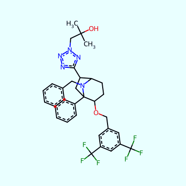 CC(C)(O)Cn1nnc(C2CC3(c4ccccc4)C(OCc4cc(C(F)(F)F)cc(C(F)(F)F)c4)CCC2N3Cc2ccccc2)n1